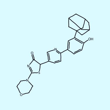 O=C1N=C(N2CCOCC2)SC1c1ccc(-c2ccc(O)c(C34CC5CC(CC(C5)C3)C4)c2)nc1